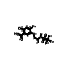 C[C@@H](COc1cc(C(=O)O)c(Cl)cc1F)NS(=O)(=O)C(F)(F)F